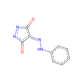 O=c1nnc(=O)c1=NNc1ccccc1